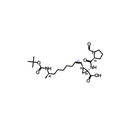 C[C@H](CCCCC/C=C\[C@@H]1C[C@]1(NC(=O)[C@@H]1CCCN1C=O)C(=O)O)NC(=O)OC(C)(C)C